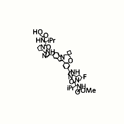 COC(=O)N[C@H](C(=O)N1C[C@@H](F)CC1c1ncc(-c2ccc3c(c2)OCC2(CCC2)Cn2c-3cc3cc(-c4cnc([C@H]5CCCN5C(=O)[C@@H](NC(=O)CO)C(C)C)[nH]4)ccc32)[nH]1)C(C)C